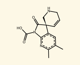 Cc1cc2c(nc1C)N(C(=O)O)C(=O)[C@]21C=CCNC1